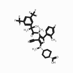 Cc1cc(F)ccc1-c1sc(N(C)[C@H]2CC[C@@H](C(=O)O)CC2)c(C#N)c1N(C)C(=O)C(C)(C)c1cc(C(F)(F)F)cc(C(F)(F)F)c1